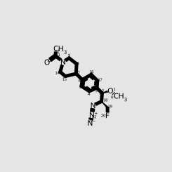 CO[C@H](c1ccc(C2CCN(C(C)=O)CC2)cc1)[C@@H](CF)N=[N+]=[N-]